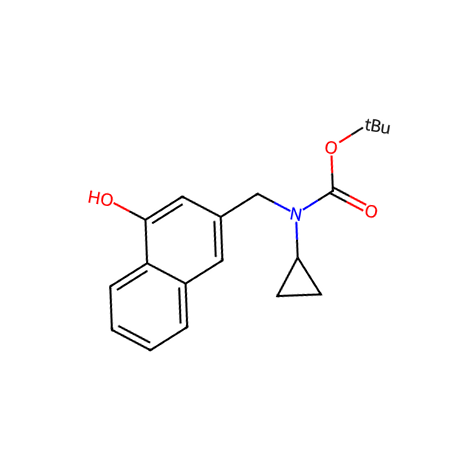 CC(C)(C)OC(=O)N(Cc1cc(O)c2ccccc2c1)C1CC1